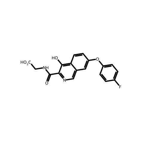 O=C(O)CNC(=O)c1ncc2cc(Oc3ccc(F)cc3)ccc2c1O